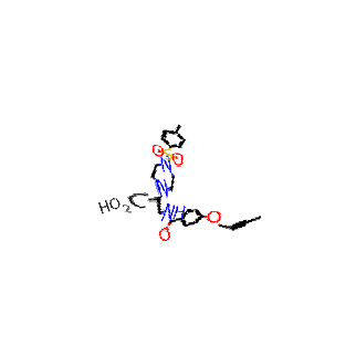 CC#CCOc1ccc(C(=O)NCC(C(=O)O)N2CCN(S(=O)(=O)c3ccc(C)cc3)CC2)cc1